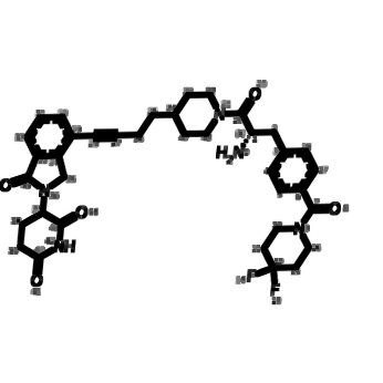 N[C@@H](Cc1ccc(C(=O)N2CCC(F)(F)CC2)cc1)C(=O)N1CCC(CCC#Cc2cccc3c2CN(C2CCC(=O)NC2=O)C3=O)CC1